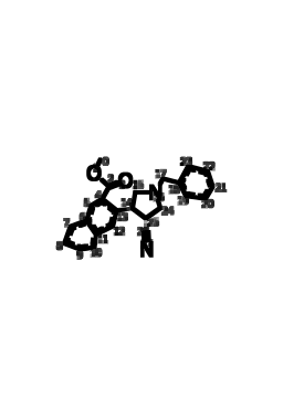 COC(=O)c1cc2ccccc2cc1[C@H]1CN(Cc2ccccc2)C[C@@H]1C#N